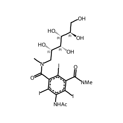 CNC(=O)c1c(I)c(NC(C)=O)c(I)c(C(=O)N(C)C[C@H](O)[C@@H](O)[C@H](O)[C@H](O)CO)c1I